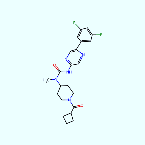 CN(C(=O)Nc1cnc(-c2cc(F)cc(F)c2)cn1)C1CCN(C(=O)C2CCC2)CC1